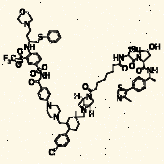 Cc1ncsc1-c1ccc([C@H](C)NC(=O)[C@@H]2C[C@@H](O)CN2C(=O)[C@@H](NC(=O)CCCCCCC(=O)N2C[C@@H]3C[C@H]2CN3CC2(C)CCC(c3ccc(Cl)cc3)=C(CN3CCN(c4ccc(C(=O)NS(=O)(=O)c5ccc(NC(CCN6CCOCC6)CSc6ccccc6)c(S(=O)(=O)C(F)(F)F)c5)cc4)CC3)C2)C(C)(C)C)cc1